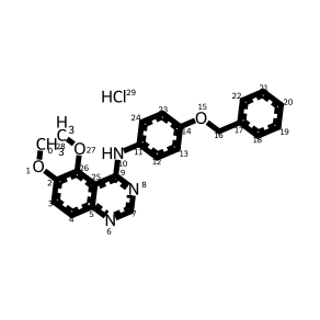 COc1ccc2ncnc(Nc3ccc(OCc4ccccc4)cc3)c2c1OC.Cl